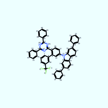 FC(F)(F)c1cccc(-c2cc(-n3c4cc(-c5ccccc5)ccc4c4ccc(-c5ccccc5)cc43)ccc2-c2nc(-c3ccccc3)nc(-c3ccccc3)n2)c1